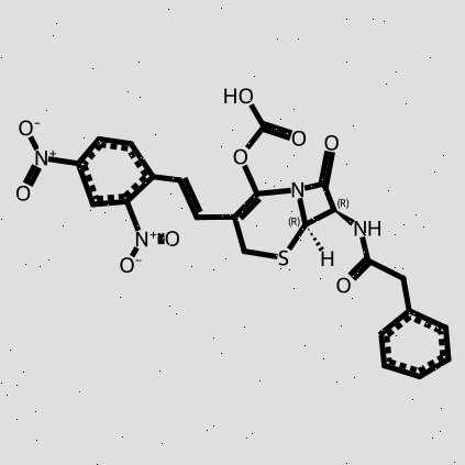 O=C(Cc1ccccc1)N[C@@H]1C(=O)N2C(OC(=O)O)=C(C=Cc3ccc([N+](=O)[O-])cc3[N+](=O)[O-])CS[C@H]12